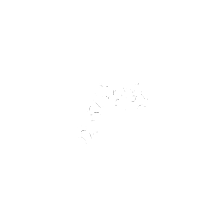 CC(C)N(C(=O)[C@@H]1OCO[C@H]1C(=O)NC(Cc1ccc(OCc2c(Cl)cccc2Cl)cc1)C(=O)O)c1ccccc1